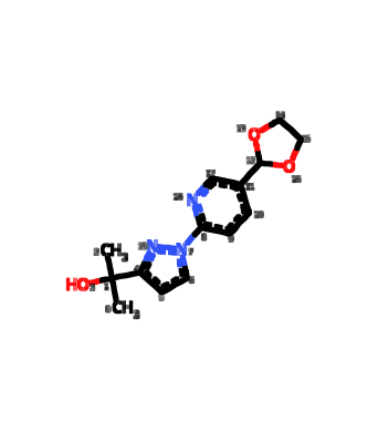 CC(C)(O)c1ccn(-c2ccc(C3OCCO3)cn2)n1